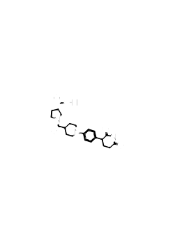 O=C1CCC(c2ccc(N3CCC(C(=O)N4CC[C@H](C(=O)O)C4)CC3)cc2)C(=O)N1